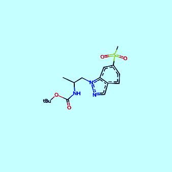 CC(Cn1ncc2ccc(S(C)(=O)=O)cc21)NC(=O)OC(C)(C)C